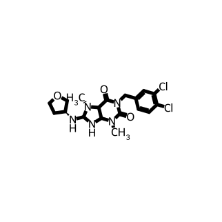 CN1C(=O)N(Cc2ccc(Cl)c(Cl)c2)C(=O)C2C1NC(N[C@@H]1CCOC1)N2C